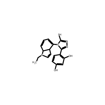 CCN1C=CC2C(n3c(S)nnc3-c3ccc(O)cc3O)=CC=CC21